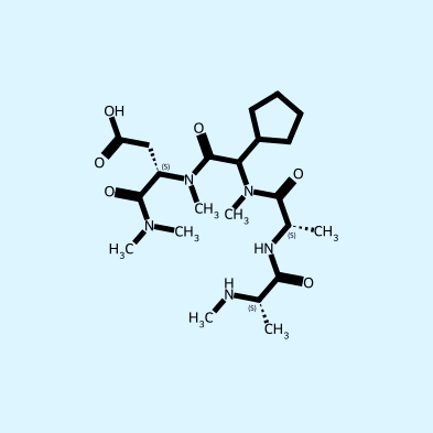 CN[C@@H](C)C(=O)N[C@@H](C)C(=O)N(C)C(C(=O)N(C)[C@@H](CC(=O)O)C(=O)N(C)C)C1CCCC1